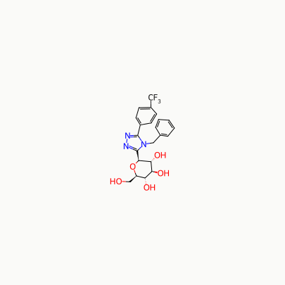 OC[C@H]1O[C@@H](c2nnc(-c3ccc(C(F)(F)F)cc3)n2Cc2ccccc2)[C@H](O)[C@@H](O)[C@@H]1O